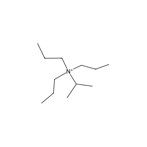 CCC[N+](CCC)(CCC)C(C)C